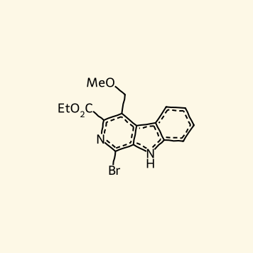 CCOC(=O)c1nc(Br)c2[nH]c3ccccc3c2c1COC